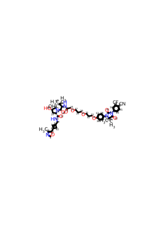 Cc1ncoc1C12CC(CNC(=O)[C@@H]3C[C@@H](O)CN3C(=O)C(NC(=O)COCCCOCCCOc3ccc(N4C(=O)N(c5ccc(C#N)c(C(F)(F)F)c5)C(=O)C4(C)C)cc3)C(C)(C)C=O)(C1)C2